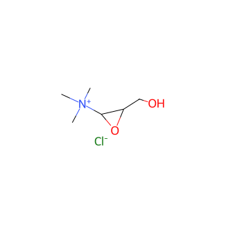 C[N+](C)(C)C1OC1CO.[Cl-]